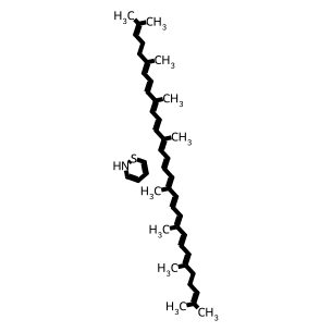 C1=CNSC=C1.CC(C)=CCC/C(C)=C/C=C/C(C)=C/C=C/C(C)=C/C=C/C=C(C)/C=C/C=C(C)/C=C/C=C(\C)CCC=C(C)C